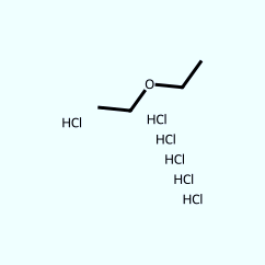 CCOCC.Cl.Cl.Cl.Cl.Cl.Cl